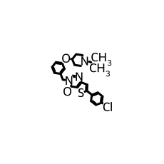 CC(C)N1CCC(Oc2cccc(Cn3cnc4cc(-c5ccc(Cl)cc5)sc4c3=O)c2)CC1